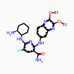 CCOc1nc2ccc(Nc3nc(N[C@@H]4CCCC[C@@H]4N)c(F)cc3C(N)=O)cc2nc1OCC